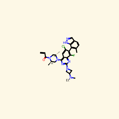 C=CC(=O)N1C[C@H](C)N(c2nc(N3CC(N(C)CC)C3)nc3c(F)c(-c4c(C)ccc5cn[nH]c45)c(Cl)cc23)C[C@H]1C